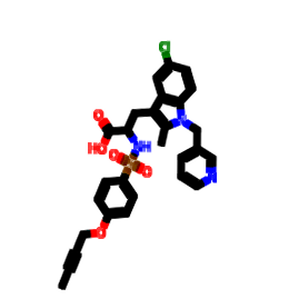 CC#CCOc1ccc(S(=O)(=O)NC(Cc2c(C)n(Cc3cccnc3)c3ccc(Cl)cc23)C(=O)O)cc1